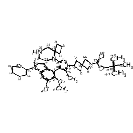 COc1c(Cl)cc2c(cnn2C2CCCCO2)c1-c1c(N2CCNCC23CCC3)nn(C2CC3(C2)CN(C(=O)OC(C)(C)C)C3)c1C